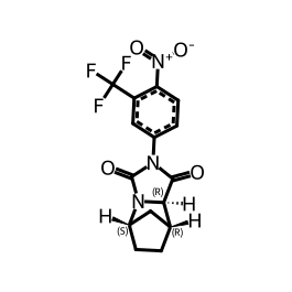 O=C1[C@H]2[C@@H]3CC[C@@H](C3)N2C(=O)N1c1ccc([N+](=O)[O-])c(C(F)(F)F)c1